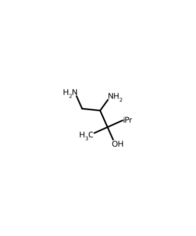 CC(C)C(C)(O)C(N)CN